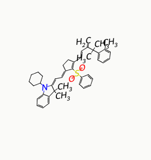 C=C(/C=C/C1=C(S(=O)(=O)c2ccccc2)C(=C/C=C2/N(C3CCCCC3)c3ccccc3C2(C)C)/CC1)C(C)(C)c1ccccc1C